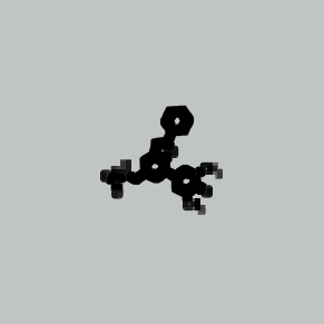 Cc1cc(-c2cc(CN[SH](=O)=O)cc3cc(-c4ccccc4)oc23)cn(C)c1=O